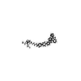 CC(C)(C)CCCCCCCCN1CCN(c2ccc(-c3ccc4c(c3)C(=O)N(C(C(=O)Nc3nccs3)c3ccccc3)C4)cc2)CC1